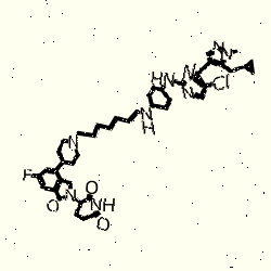 Cn1ncc(-c2nc(NC3CCC(NCCCCCCCN4CCC(c5cc(F)cc6c5CN(C5CCC(=O)NC5=O)C6=O)CC4)CC3)ncc2Cl)c1CC1CC1